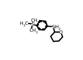 C[Si](C)(C)c1ccc([SiH2]C2CCCCO2)cc1